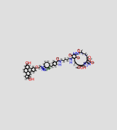 CO[C@H]1/C=C\C=C(/C)C(=O)NC2=CC(=O)C(NCCCCCNC(=O)c3ccc(CC4CCCCc5c(nnn5CCOc5ccc([C@H]6C[C@@]7(C)C(CC[C@@H]7O)C7CCc8cc(O)ccc8C76)cc5)C4(F)F)cc3)=C(C[C@@H](C)C[C@H](OC)[C@H](O)[C@@H](C)/C=C(\C)[C@@H]1OC(N)=O)C2=O